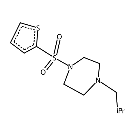 CC(C)CN1CCN(S(=O)(=O)c2cccs2)CC1